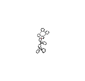 c1ccc(-n2c3ccccc3c3ccc(N(c4ccccc4)c4ccc(-c5cccc6c5-c5ccc#cc5Cc5ccccc5-c5ccccc5C6)cc4)cc32)cc#1